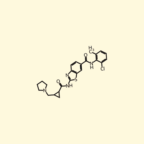 Cc1cccc(Cl)c1NC(=O)c1ccc2nc(NC(=O)C3CC3CN3CCCC3)sc2c1